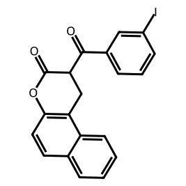 O=C1Oc2ccc3ccccc3c2CC1C(=O)c1cccc(I)c1